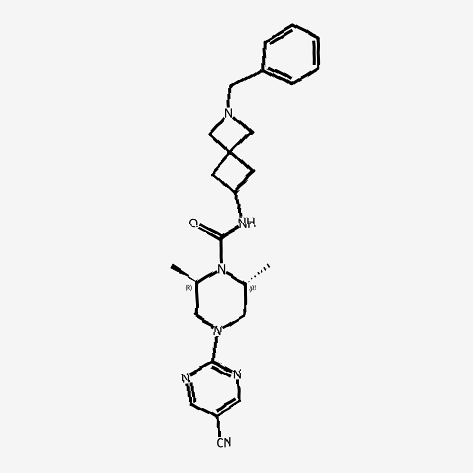 C[C@@H]1CN(c2ncc(C#N)cn2)C[C@@H](C)N1C(=O)NC1CC2(C1)CN(Cc1ccccc1)C2